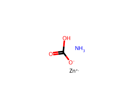 N.O=C([O-])O.[Zn+]